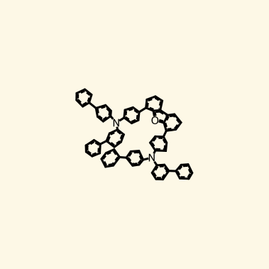 c1ccc(-c2ccc(N(c3ccc(-c4cccc5c4oc4c(-c6ccc(N(c7ccc(-c8ccccc8)cc7)c7cccc(-c8ccccc8)c7)cc6)cccc45)cc3)c3cccc(-c4ccccc4)c3)cc2)cc1